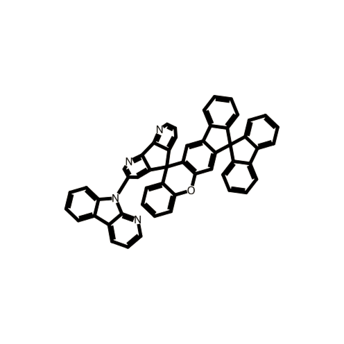 c1ccc2c(c1)Oc1cc3c(cc1C21c2cccnc2-c2ncc(-n4c5ccccc5c5cccnc54)cc21)-c1ccccc1C31c2ccccc2-c2ccccc21